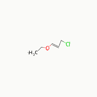 [CH2]COC=CCCl